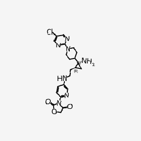 N[C@]1(C2CCN(c3ncc(Cl)cn3)CC2)C[C@H]1CCNc1ccc(N2C(=O)COC2=O)nc1